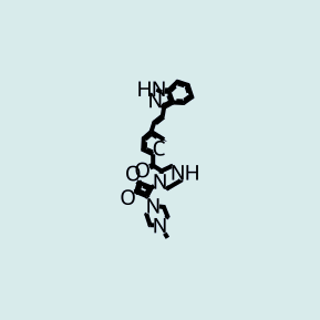 CN1CCN(c2c(N3CCNCC3C(=O)c3ccc(C=Cc4n[nH]c5ccccc45)cc3)c(=O)c2=O)CC1